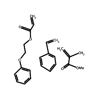 C=C(C)C(=O)OC.C=CC(=O)OCCOc1ccccc1.C=Cc1ccccc1